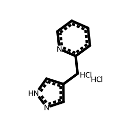 Cl.Cl.c1ccc(Cc2cn[nH]c2)nc1